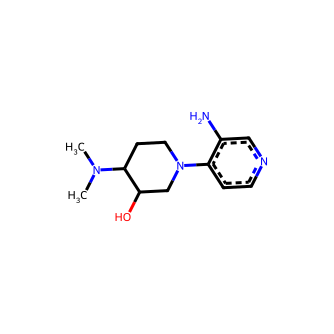 CN(C)C1CCN(c2ccncc2N)CC1O